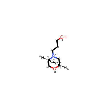 OCCCN1C[C@@H]2CC[C@H]1CO2